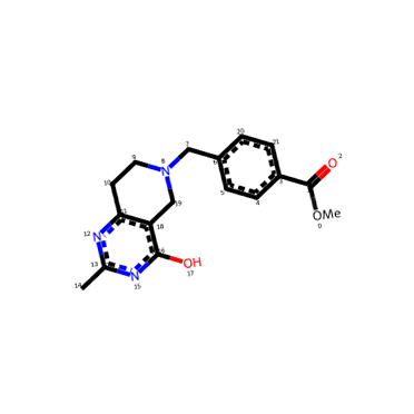 COC(=O)c1ccc(CN2CCc3nc(C)nc(O)c3C2)cc1